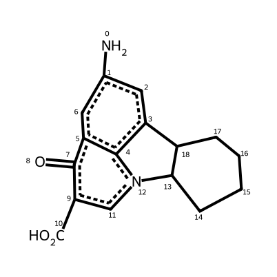 Nc1cc2c3c(c1)c(=O)c(C(=O)O)cn3C1CCCCC21